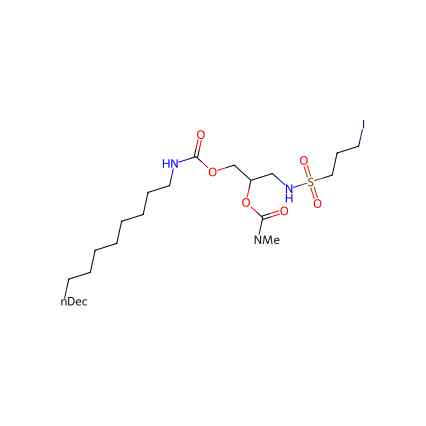 CCCCCCCCCCCCCCCCCCNC(=O)OCC(CNS(=O)(=O)CCCI)OC(=O)NC